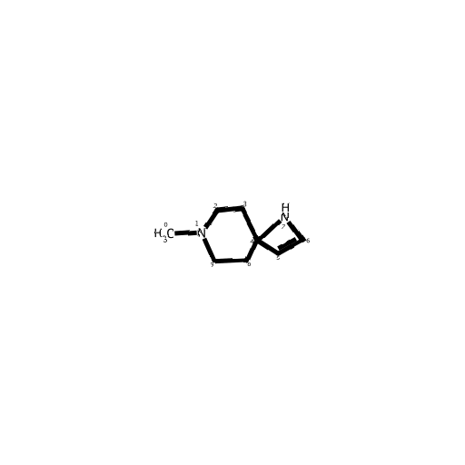 CN1CCC2(C=CN2)CC1